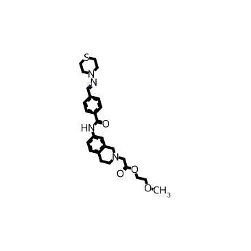 COCCOC(=O)CN1CCc2ccc(NC(=O)c3ccc(/C=N/N4CCSCC4)cc3)cc2C1